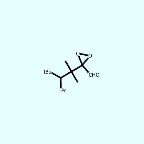 CC(C)C(C(C)(C)C)C(C)(C)C1([C]=O)OO1